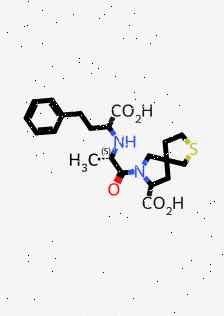 C[C@H](NC(CCc1ccccc1)C(=O)O)C(=O)N1CC2(CCSC2)CC1C(=O)O